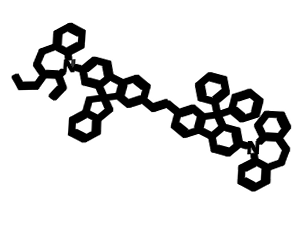 C=CC1=C(/C=C\C)CCc2ccccc2N1c1ccc2c(c1)C1(Cc3ccccc3C1)c1cc(/C=C/c3ccc4c(c3)C(c3ccccc3)(c3ccccc3)C3C=C(N5C6=C(C=CCC6)CCc6ccccc65)C=CC43)ccc1-2